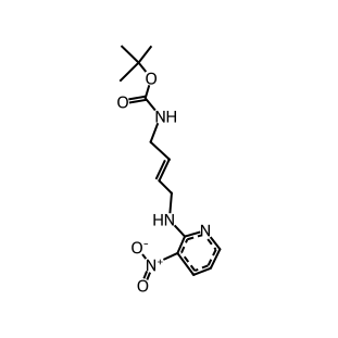 CC(C)(C)OC(=O)NCC=CCNc1ncccc1[N+](=O)[O-]